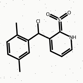 Cc1ccc(C)c(C(Cl)c2ccc[nH]c2=S(=O)=O)c1